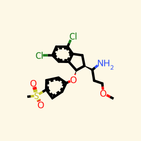 COCCC(N)[C@@H]1Cc2c(Cl)cc(Cl)cc2[C@H]1Oc1ccc(S(C)(=O)=O)cc1